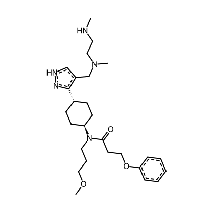 CNCCN(C)Cc1c[nH]nc1[C@H]1CC[C@H](N(CCCOC)C(=O)CCOc2ccccc2)CC1